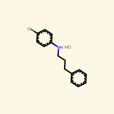 Cl.Clc1ccc(NCCCc2ccccc2)cc1